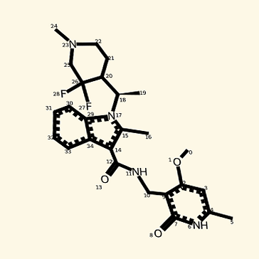 COc1cc(C)[nH]c(=O)c1CNC(=O)c1c(C)n([C@H](C)C2CCN(C)CC2(F)F)c2ccccc12